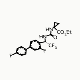 CCOC(=O)C1(NC(=O)N[C@@H](c2ccc(-c3ccc(F)cc3)cc2F)C(F)(F)F)CC1